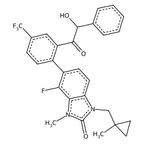 Cn1c(=O)n(CC2(C)CC2)c2ccc(-c3ccc(C(F)(F)F)cc3C(=O)C(O)c3ccccc3)c(F)c21